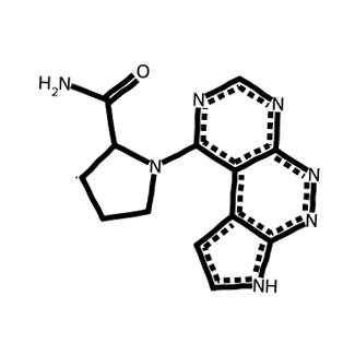 NC(=O)C1[CH]CCN1c1ncnc2nnc3[nH]ccc3c12